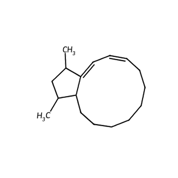 CC1CC(C)C2CCCCCCCC=CC=C12